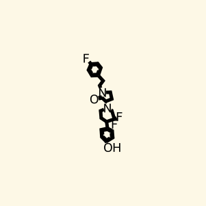 O=C1[C@@H](N2CCC(c3ccc(O)cc3)C(F)(F)C2)CCN1CCc1ccc(F)cc1